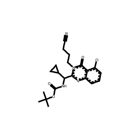 CC(C)(C)OC(=O)NC(c1nc2cccc(Cl)c2c(=O)n1CCCC#N)C1CC1